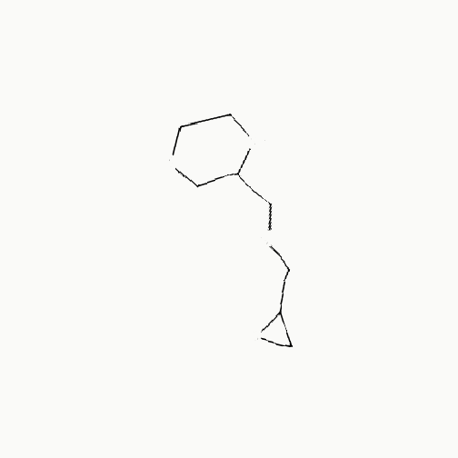 C1CSC(CSCC2CS2)CS1